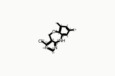 Cc1cc(I)cc2c1OCc1c(Cl)ncnc1N2